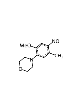 COc1cc(N=O)c(C)cc1N1CCOCC1